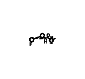 Cc1cncc(C(=O)NC23CCCC(C#Cc4cccc(F)c4)(CC2)C3)n1